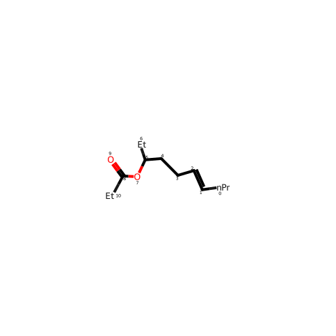 CCCC=CCCC(CC)OC(=O)CC